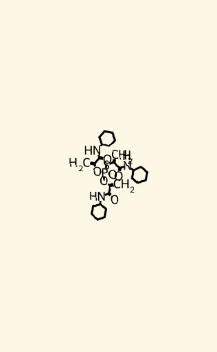 C=C(OP(=O)(OC(=C)C(=O)NC1CCCCC1)SC(=C)C(=O)NC1CCCCC1)C(=O)NC1CCCCC1